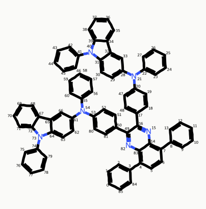 c1ccc(-c2ccc(-c3ccccc3)c3nc(-c4ccc(N(c5ccccc5)c5ccc6c(c5)c5ccccc5n6-c5ccccc5)cc4)c(-c4ccc(N(c5ccccc5)c5ccc6c(c5)c5ccccc5n6-c5ccccc5)cc4)nc23)cc1